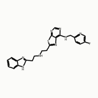 Fc1ccc(CNc2ncnc3sc(CCNCCc4nc5ccccc5[nH]4)nc23)nc1